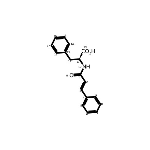 O=C(C=Cc1ccccc1)N[C@@H](Cc1ccccc1)C(=O)O